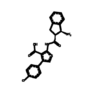 N[C@@H]1c2ccccc2C[C@@H]1C(=O)Nc1scc(-c2ccc(Cl)cc2)c1C(=O)O